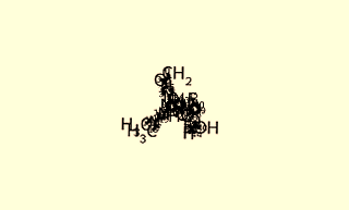 C=CC(=O)N1CCN(c2nc(N3CC(N(CC)CC)C3)nc3c(=O)n(-c4c(O)cccc4F)cnc23)CC1.O=C(O)C(F)(F)F